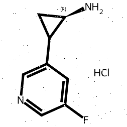 Cl.N[C@@H]1CC1c1cncc(F)c1